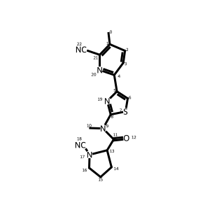 Cc1ccc(-c2csc(N(C)C(=O)C3CCCN3C#N)n2)nc1C#N